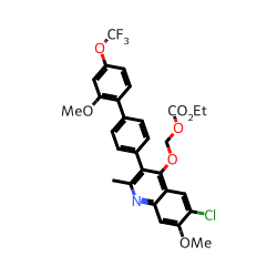 CCOC(=O)OCOc1c(-c2ccc(-c3ccc(OC(F)(F)F)cc3OC)cc2)c(C)nc2cc(OC)c(Cl)cc12